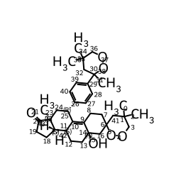 CC1(C)COOC2(CCC3=C4[C@@H](CC[C@@]3(O)C2)[C@@H]2CCC(=O)[C@@]2(C)C[C@@H]4c2ccc(C3(C)CC(C)(C)COO3)cc2)C1